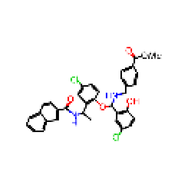 COC(=O)c1ccc(CNC(Oc2ccc(Cl)cc2C(C)NC(=O)c2ccc3ccccc3c2)c2cc(Cl)ccc2O)cc1